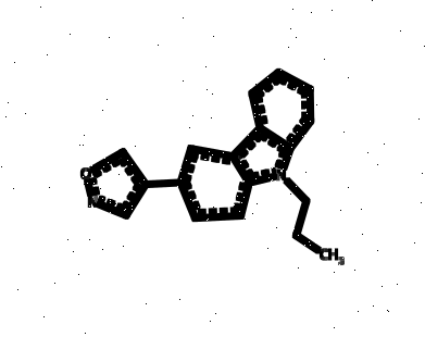 CCCn1c2ccccc2c2cc(-c3cnoc3)ccc21